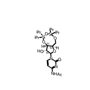 CC(=O)Nc1ccn(C2O[C@@H]3CO[Si](C(C)C)(C(C)C)O[Si](C(C)C)(C(C)C)O[C@H]3[C@H]2O)c(=O)n1